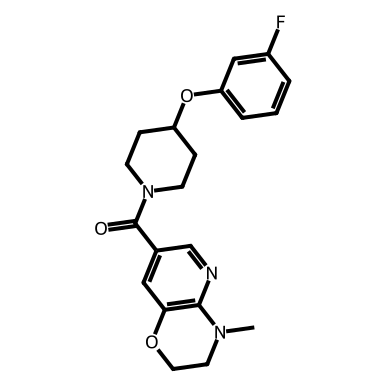 CN1CCOc2cc(C(=O)N3CCC(Oc4cccc(F)c4)CC3)cnc21